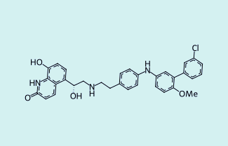 COc1ccc(Nc2ccc(CCNC[C@H](O)c3ccc(O)c4[nH]c(=O)ccc34)cc2)cc1-c1cccc(Cl)c1